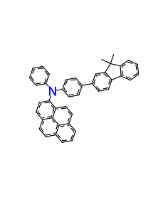 CC1(C)c2ccccc2-c2ccc(-c3ccc(N(c4ccccc4)c4ccc5ccc6cccc7ccc4c5c67)cc3)cc21